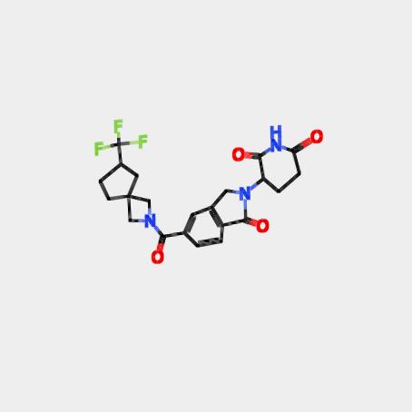 O=C1CCC(N2Cc3cc(C(=O)N4CC5(CCC(C(F)(F)F)C5)C4)ccc3C2=O)C(=O)N1